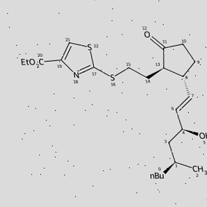 CCCC[C@H](C)C[C@H](O)/C=C/[C@H]1CCC(=O)[C@@H]1CCSc1nc(C(=O)OCC)cs1